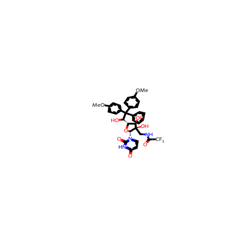 COc1ccc(C(c2ccccc2)(c2ccc(OC)cc2)C(O)[C@H]2O[C@@H](n3ccc(=O)[nH]c3=O)[C@@](O)(CNC(=O)C(F)(F)F)[C@@H]2O)cc1